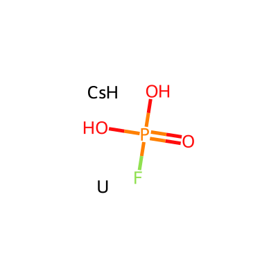 O=P(O)(O)F.[CsH].[U]